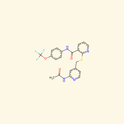 CC(=O)Nc1cc(CSc2ncccc2C(=O)Nc2ccc(OC(F)(F)F)cc2)ccn1